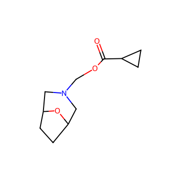 O=C(OCN1CC2CCC(C1)O2)C1CC1